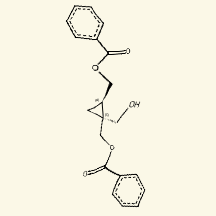 O=C(OC[C@@H]1C[C@]1(CO)COC(=O)c1ccccc1)c1ccccc1